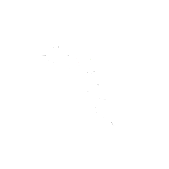 CC[C@H]1CC[C@H](c2ccc(C(F)(F)Oc3ccc(F)cc3)cc2)CC1